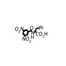 CC(C)C[C@H](NC(=O)c1cc([N+](=O)[O-])cc([N+](=O)[O-])c1)C(=O)O